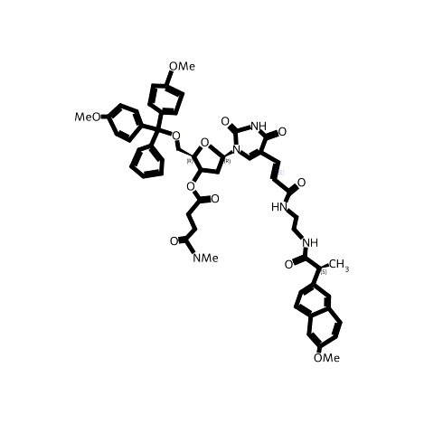 CNC(=O)CCC(=O)OC1C[C@H](n2cc(/C=C/C(=O)NCCNC(=O)[C@@H](C)c3ccc4cc(OC)ccc4c3)c(=O)[nH]c2=O)O[C@@H]1COC(c1ccccc1)(c1ccc(OC)cc1)c1ccc(OC)cc1